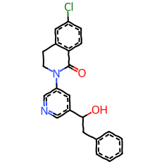 O=C1c2ccc(Cl)cc2CCN1c1cncc(C(O)Cc2ccccc2)c1